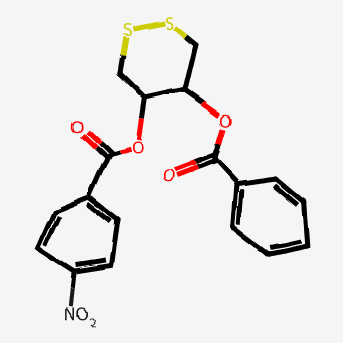 O=C(OC1CSSCC1OC(=O)c1ccc([N+](=O)[O-])cc1)c1ccccc1